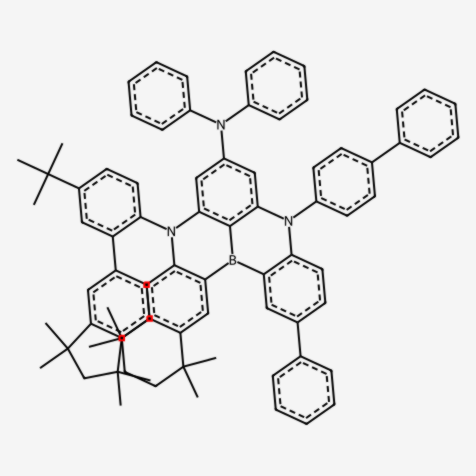 CC(C)(C)c1ccc(N2c3cc4c(cc3B3c5cc(-c6ccccc6)ccc5N(c5ccc(-c6ccccc6)cc5)c5cc(N(c6ccccc6)c6ccccc6)cc2c53)C(C)(C)CCC4(C)C)c(-c2ccc3c(c2)C(C)(C)CC3(C)C)c1